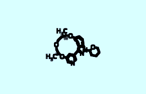 C[C@H]1CCOC[C@H](C)Oc2cncc(c2)-c2nn(C3CCCCO3)c3ccc(cc23)O1